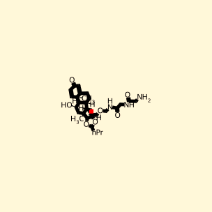 CCCC1O[C@@H]2C[C@H]3[C@@H]4CCC5=CC(=O)C=C[C@]5(C)[C@H]4[C@@H](O)C[C@]3(C)[C@]2(C(=O)COCNC(=O)CNC(=O)CN)O1